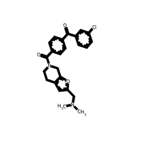 CN(C)Cc1cc2c(o1)CN(C(=O)c1ccc(C(=O)c3cccc(Cl)c3)cc1)CC2